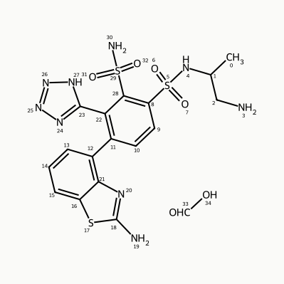 CC(CN)NS(=O)(=O)c1ccc(-c2cccc3sc(N)nc23)c(-c2nnn[nH]2)c1S(N)(=O)=O.O=CO